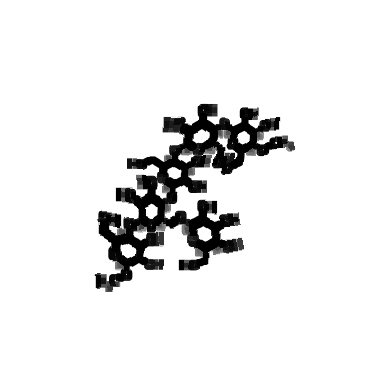 CO[C@@H]1OC(CO)[C@@H](O[C@H]2O[C@@H](CO[C@H]3O[C@@H](CO)[C@H](O)C(O)C3O)[C@@H](O[C@@H]3OC(CO)[C@@H](O[C@H]4O[C@@H](CO)[C@@H](O[C@@H]5OC(CO)[C@@H](OC)[C@@H](O)C5O)C(O)C4O)[C@@H](O)C3O)C(O)C2O)C(O)C1O